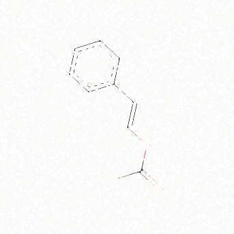 O=C(Cl)OC=Cc1ccccc1